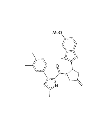 C=C1CC(c2nc3ccc(OC)cc3[nH]2)N(C(=O)c2nc(C)sc2-c2ccc(C)c(C)c2)C1